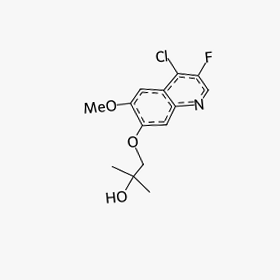 COc1cc2c(Cl)c(F)cnc2cc1OCC(C)(C)O